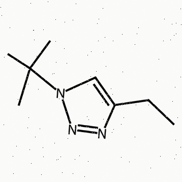 CCc1cn(C(C)(C)C)nn1